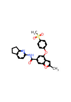 Cc1cc2c(Oc3ccc(S(C)(=O)=O)cc3)cc(C(=O)Nc3ccc4c(n3)CCC4)cc2o1